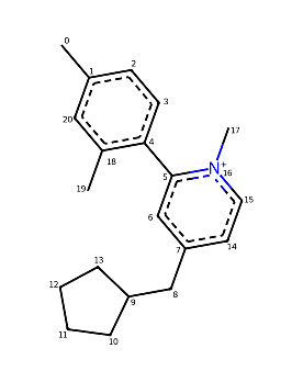 Cc1ccc(-c2cc(CC3CCCC3)cc[n+]2C)c(C)c1